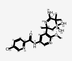 COc1ncc(NC(=O)c2ccc(Cl)cn2)cc1C1(C)CS(O)(O)C(C)(C)C(N)=N1